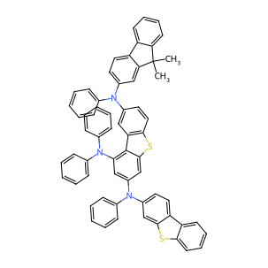 CC1(C)c2ccccc2-c2ccc(N(c3ccccc3)c3ccc4sc5cc(N(c6ccccc6)c6ccc7c(c6)sc6ccccc67)cc(N(c6ccccc6)c6ccccc6)c5c4c3)cc21